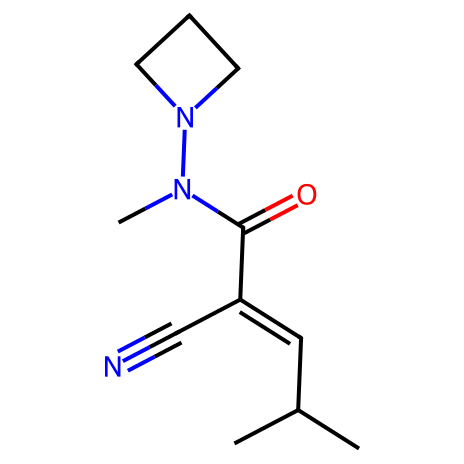 CC(C)C=C(C#N)C(=O)N(C)N1CCC1